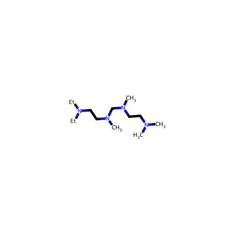 CCN(CC)CCN(C)CN(C)CCN(C)C